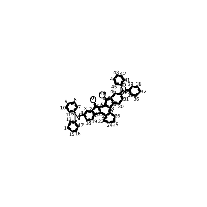 O=c1c2cc(N(c3ccccc3)c3ccccc3)ccc2c2c3ccccc3c3c4ccc(N(c5ccccc5)c5ccccc5)cc4c(=O)c3c12